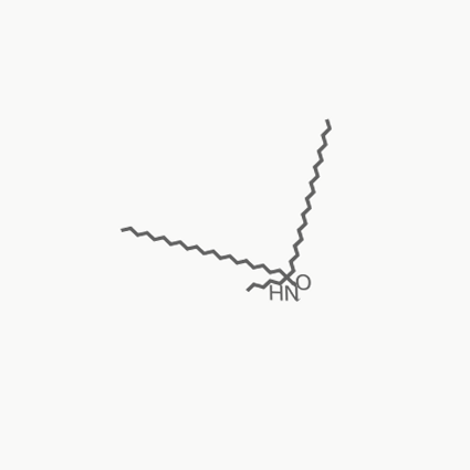 CCCCCCCCCCCCCCCCCCCCC(CCCCC)(CCCCCCCCCCCCCCCCCCCC)C(=O)NC